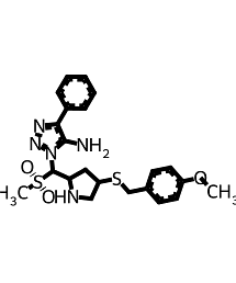 COc1ccc(CSC2CNC(C(n3nnc(-c4ccccc4)c3N)S(C)(=O)=O)C2)cc1